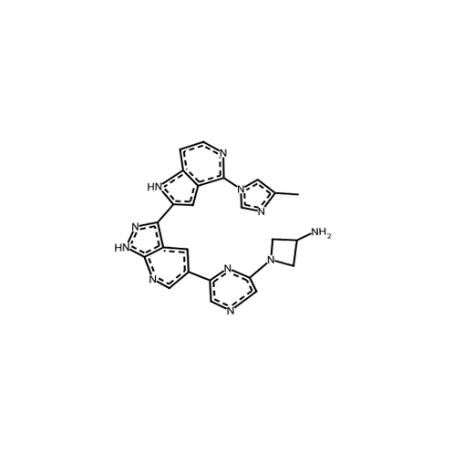 Cc1cn(-c2nccc3[nH]c(-c4n[nH]c5ncc(-c6cncc(N7CC(N)C7)n6)cc45)cc23)cn1